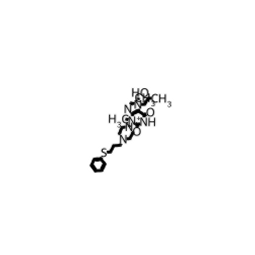 CC(O)C[N+]1(C)C=NC2=C1C(=O)NC(=O)[N+]2(C)N1CCN(CCCSc2ccccc2)CC1